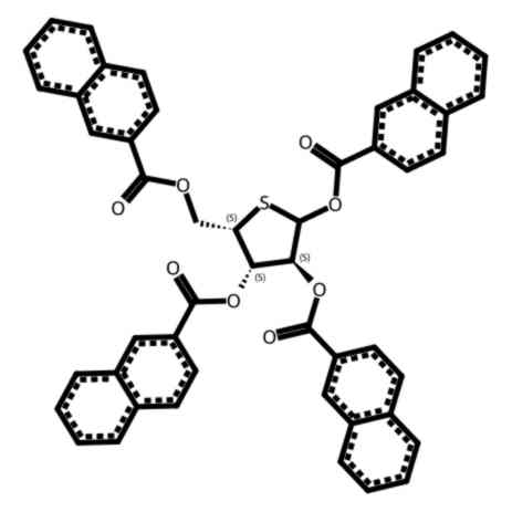 O=C(OC[C@@H]1SC(OC(=O)c2ccc3ccccc3c2)[C@@H](OC(=O)c2ccc3ccccc3c2)[C@@H]1OC(=O)c1ccc2ccccc2c1)c1ccc2ccccc2c1